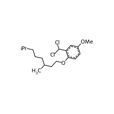 COc1ccc(OCCC(C)CCCC(C)C)c(C(Cl)Cl)c1